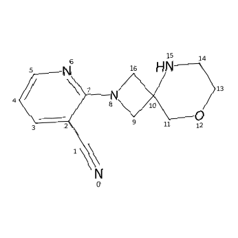 N#Cc1cccnc1N1CC2(COCCN2)C1